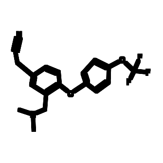 CN(C)Cc1cc(CC#N)ccc1Oc1ccc(OC(F)(F)F)cc1